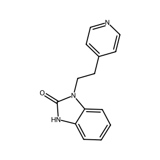 O=c1[nH]c2ccccc2n1CCc1ccncc1